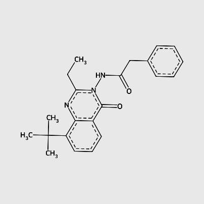 CCc1nc2c(C(C)(C)C)cccc2c(=O)n1NC(=O)Cc1ccccc1